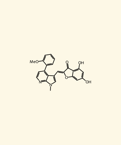 COc1ccccc1-c1ccnc2c1c(C=C1Oc3cc(O)cc(O)c3C1=O)cn2C